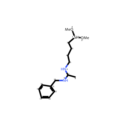 CO[SiH](CCCCNC(C)NCc1ccccc1)OC